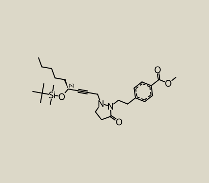 CCCCC[C@@H](C#CCN1CCC(=O)N1CCc1ccc(C(=O)OC)cc1)O[Si](C)(C)C(C)(C)C